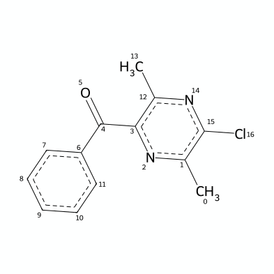 Cc1nc(C(=O)c2ccccc2)c(C)nc1Cl